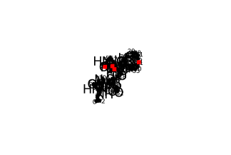 CC(C)CNc1nc2c(ncn2[C@@H]2O[C@H](COP(=O)(OCCC#N)O[C@@H]3[C@@H]4O[Si](C(C)C)(C(C)C)O[Si](C(C)C)(C(C)C)OC[C@H]4O[C@H]3n3cc(F)c4c(=O)[nH]cnc43)[C@@H](O[PH](=O)O)[C@H]2F)c(=O)[nH]1